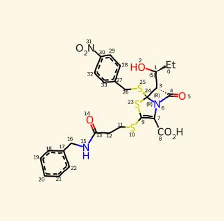 CC[C@H](O)[C@@H]1C(=O)N2C(C(=O)O)=C(SCCC(=O)NCc3ccccc3)S[C@]12SCc1ccc([N+](=O)[O-])cc1